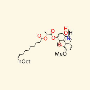 CCCCCCCC/C=C\CCCCCCCC(=O)O[C@@H](C)C(=O)OC1=CC[C@@]2(O)[C@H]3Cc4ccc(OC)c5c4[C@@]2(CCN3C)[C@H]1O5